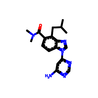 CC(C)Cc1c(C(=O)N(C)C)ccc2c1ncn2-c1cc(N)ncn1